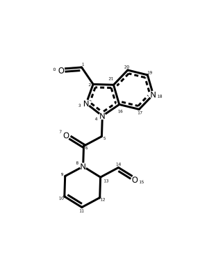 O=Cc1nn(CC(=O)N2CC=CCC2C=O)c2cnccc12